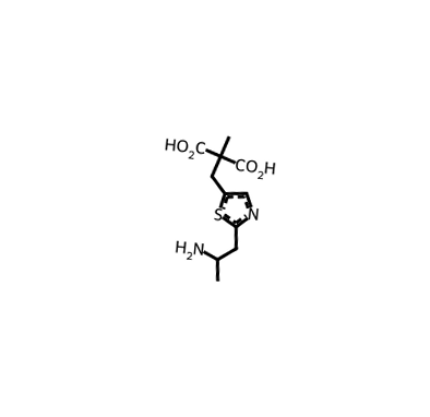 CC(N)Cc1ncc(CC(C)(C(=O)O)C(=O)O)s1